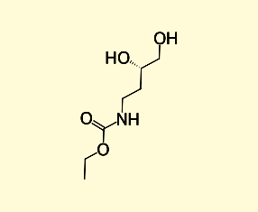 CCOC(=O)NCC[C@H](O)CO